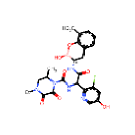 CCN1CC(C)N(C(=O)NC(C(=O)N[C@H]2Cc3cccc(C(=O)O)c3OB2O)c2ncc(O)cc2F)C(=O)C1=O